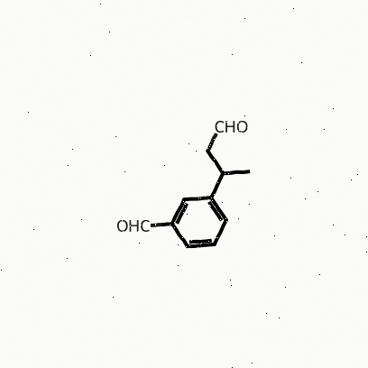 CC(CC=O)c1cccc(C=O)c1